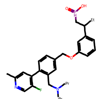 CCC(C[PH](=O)O)c1cccc(OCc2ccc(-c3cc(C)ncc3F)c(CN(C(C)C)C(C)C)c2)c1